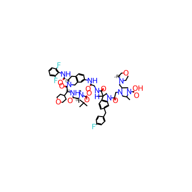 CC1CN(CC(=O)N2CC(C)(C(=O)NCC(=O)Nc3ccc4c(c3)CN(C(=O)[C@@H](NC(=O)[C@H](C)N(C)C(=O)OC(C)(C)C)C3CCOCC3)[C@H](C(=O)Nc3c(F)cccc3F)C4)c3ccc(Cc4ccc(F)cc4)cc32)C(CN2CCOC[C@H]2C)CN1C(=O)O